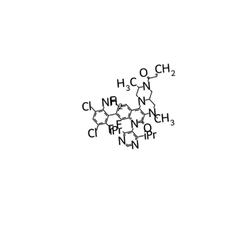 C=CC(=O)N1CC2CN(C)c3c(c4cc(F)c(-c5c(N)c(Cl)cc(Cl)c5F)c(F)c4n(-c4c(C(C)C)ncnc4C(C)C)c3=O)N2CC1C